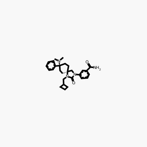 CN(C)[C@]1(c2ccccc2)CC[C@]2(CC1)CN(c1cccc(C(N)=O)c1)C(=O)N2CC1CCC1